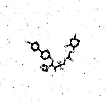 CC(C)(COC(=O)COc1ccc(Cl)cc1Cl)C(=O)C(Oc1ccc(-c2ccc(Cl)cc2)cc1)n1ccnc1